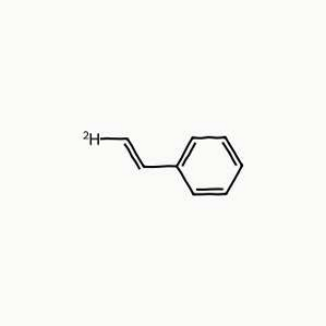 [2H]/C=C/c1ccccc1